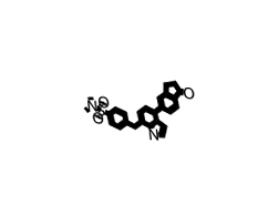 CN(C)S(=O)(=O)c1ccc(CC2=CC=C(c3ccc4c(c3)CCC4=O)C3C=CN=C23)cc1